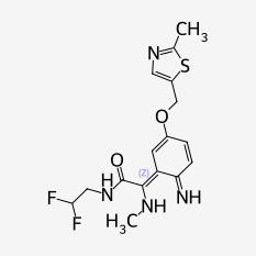 CN/C(C(=O)NCC(F)F)=C1/C=C(OCc2cnc(C)s2)C=CC1=N